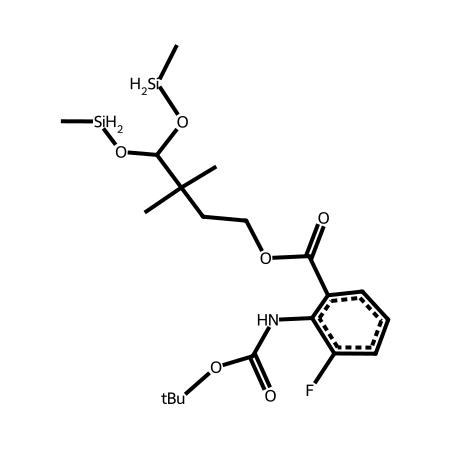 C[SiH2]OC(O[SiH2]C)C(C)(C)CCOC(=O)c1cccc(F)c1NC(=O)OC(C)(C)C